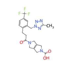 Cc1nnn(Cc2cc(C(F)(F)F)ccc2CCC(=O)N2CC3=C(CN(C(=O)O)C3)C2)n1